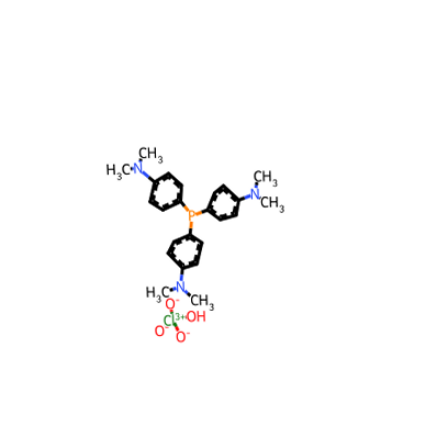 CN(C)c1ccc(P(c2ccc(N(C)C)cc2)c2ccc(N(C)C)cc2)cc1.[O-][Cl+3]([O-])([O-])O